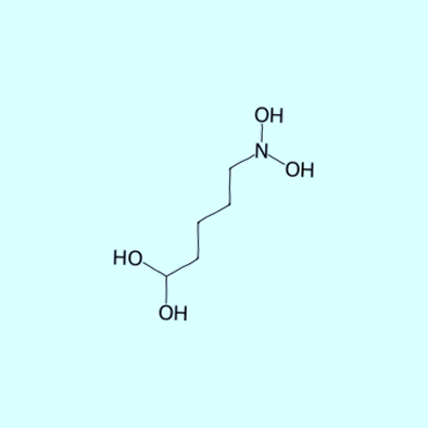 OC(O)CCCCN(O)O